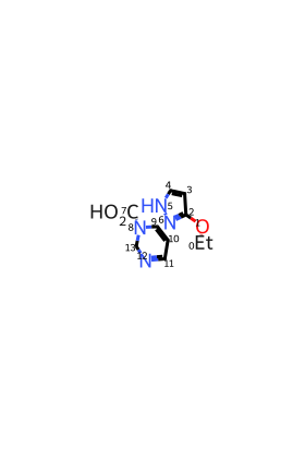 CCOc1cc[nH]n1.O=C(O)N1C=CC=NC1